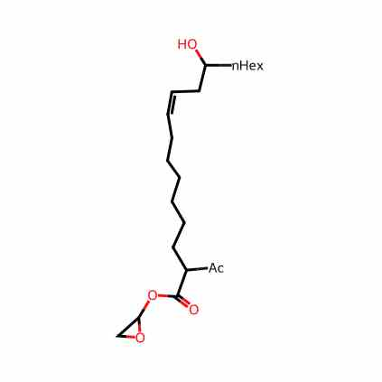 CCCCCCC(O)C/C=C\CCCCCCC(C(C)=O)C(=O)OC1CO1